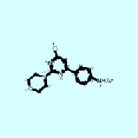 CC(=O)Nc1ccc(-c2cc(Cl)nc(N3CCOCC3)n2)cc1